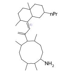 C=C(/C=C1\C(C)CCC2(C)CCC(CCC)CC12)C1C(C)CCC(C)C(C)C(N)CCC1C